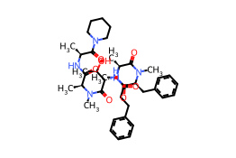 C[C@H](NC(=O)[C@H](C)N(C)C(=O)[C@@H](NC(=O)[C@H](Cc1ccccc1)N(C)C(=O)[C@H](C)N(C)C(=O)CCc1ccccc1)[C@@H](C)O)C(=O)N1CCCCC1